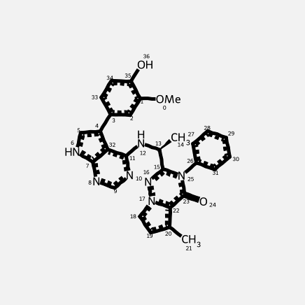 COc1cc(-c2c[nH]c3ncnc(N[C@@H](C)c4nn5ccc(C)c5c(=O)n4-c4ccccc4)c23)ccc1O